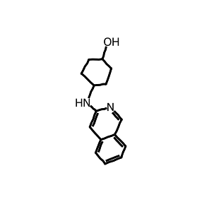 OC1CCC(Nc2cc3ccccc3cn2)CC1